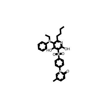 CCCCc1nc(O)c(S(=O)(=O)c2ccc(-n3cc(C)ccc3=O)cc2)c(O)c1N(CC)c1ccccc1